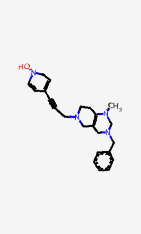 CN1CN(Cc2ccccc2)CC2=C1CCN(CC#CC1=CCN(O)C=C1)C2